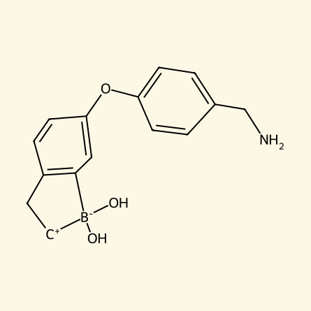 NCc1ccc(Oc2ccc3c(c2)[B-](O)(O)[CH+]C3)cc1